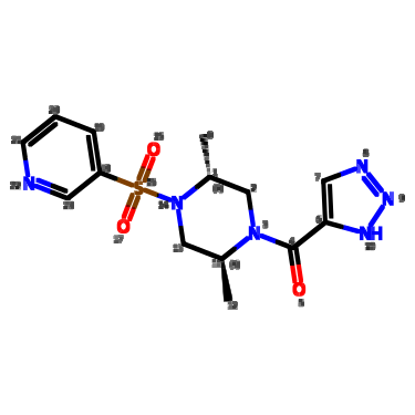 C[C@@H]1CN(C(=O)c2cnn[nH]2)[C@@H](C)CN1S(=O)(=O)c1cccnc1